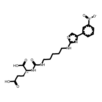 O=C(O)CC[C@H](NC(=O)NCCCCCNc1nc(-c2cccc([N+](=O)[O-])c2)cs1)C(=O)O